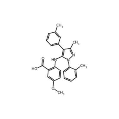 COc1ccc(Nc2c(-c3cccc(C)c3)c(C)nn2-c2ccccc2C)c(C(=O)O)c1